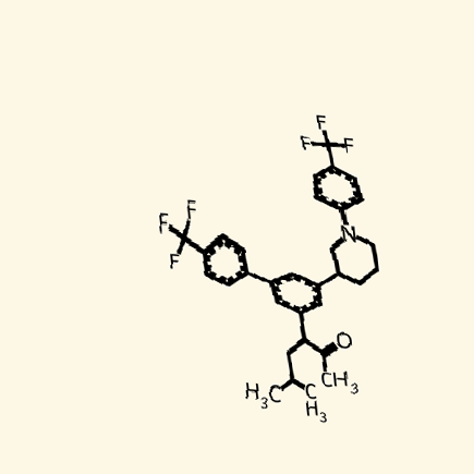 CC(=O)C(CC(C)C)c1cc(-c2ccc(C(F)(F)F)cc2)cc(C2CCCN(c3ccc(C(F)(F)F)cc3)C2)c1